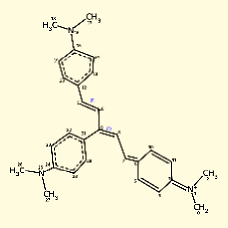 [CH2-][N+](C)=C1C=CC(=C/C=C(/C=C/c2ccc(N(C)C)cc2)c2ccc(N(C)C)cc2)C=C1